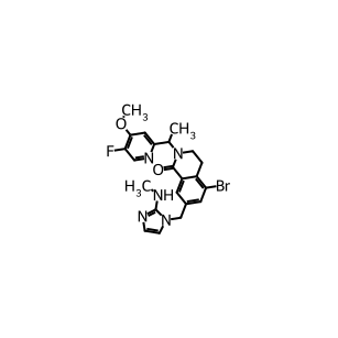 CNc1nccn1Cc1cc(Br)c2c(c1)C(=O)N(C(C)c1cc(OC)c(F)cn1)CC2